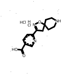 Cl.Cl.O=C(O)c1ccc(C2=NOC3(CCNCC3)C2)nc1